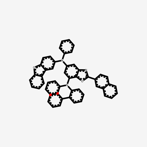 c1ccc(-c2ccccc2N(c2ccccc2)c2cc(N(c3ccccc3)c3ccc4oc5ccccc5c4c3)cc3nc(-c4ccc5ccccc5c4)oc23)cc1